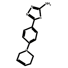 Nc1nnc(-c2ccc(N3CC=CCC3)cc2)s1